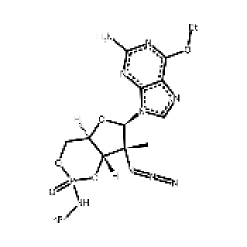 CCCNP1(=O)OC[C@H]2O[C@@H](n3cnc4c(OCC)nc(N)nc43)[C@](C)(N=[N+]=[N-])[C@@H]2O1